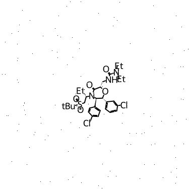 CC[C@@H](CS(=O)(=O)C(C)(C)C)N1C(=O)[C@H](CNC(=O)N(CC)CC)O[C@H](c2cccc(Cl)c2)[C@H]1c1ccc(Cl)cc1